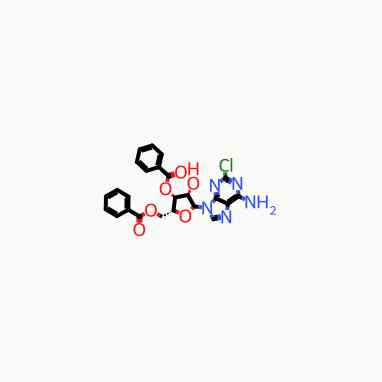 Nc1nc(Cl)nc2c1ncn2C1O[C@H](COC(=O)c2ccccc2)[C@@H](OC(=O)c2ccccc2)[C@H]1O